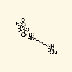 CC(C)(C)OC(=O)NCCCCCCCCNC(=O)COc1cccc2c1C(=O)N(C1CCC(=O)NC1=O)C2=O